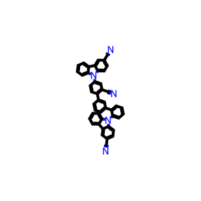 N#Cc1ccc2c(c1)c1ccccc1n2-c1ccc(-c2cccc(-c3ccccc3-n3c4ccccc4c4cc(C#N)ccc43)c2)c(C#N)c1